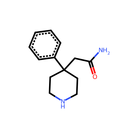 NC(=O)CC1(c2ccccc2)CCNCC1